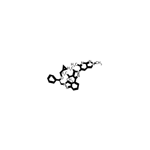 Cc1nc2nn(C)cc2cc1-n1nc(-c2cccc3nn(C[C@H](OCC4CC4)c4ccccc4)cc23)c(C(C)C)c1C